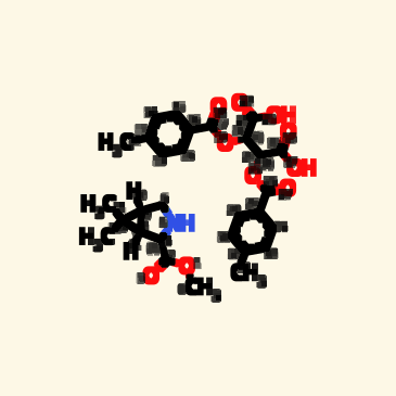 COC(=O)[C@@H]1NC[C@@H]2[C@H]1C2(C)C.Cc1ccc(C(=O)O[C@@H](C(=O)O)[C@@H](OC(=O)c2ccc(C)cc2)C(=O)O)cc1